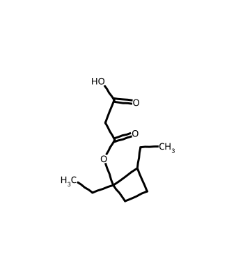 CCC1CCC1(CC)OC(=O)CC(=O)O